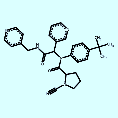 CC(C)(C)c1ccc(N(C(=O)C2CCCN2C#N)C(C(=O)NCc2ccncc2)c2cccnc2)cc1